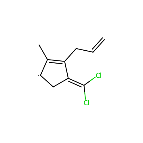 C=CCC1=C(C)[CH]CC1=C(Cl)Cl